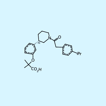 CC(C)c1ccc(CC(=O)N2CCC[C@@H](c3cccc(OC(C)(C)C(=O)O)c3)C2)cc1